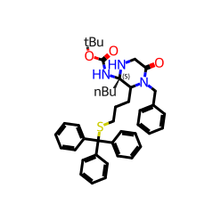 CCCC[C@@]1(NC(=O)OC(C)(C)C)NCC(=O)N(Cc2ccccc2)C1CCCSC(c1ccccc1)(c1ccccc1)c1ccccc1